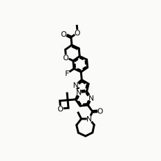 COC(=O)C1=Cc2ccc(-c3cc4nc(C(=O)N5CCCCCC5C)cc(C5(C)COC5)n4n3)c(F)c2OC1